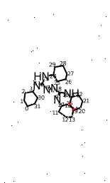 C1CCC(N=C(N=NC(=NC2CCCCC2)NC2CCCCC2)NC2CCCCC2)CC1